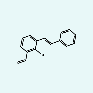 C=Cc1cccc(C=Cc2ccccc2)c1O